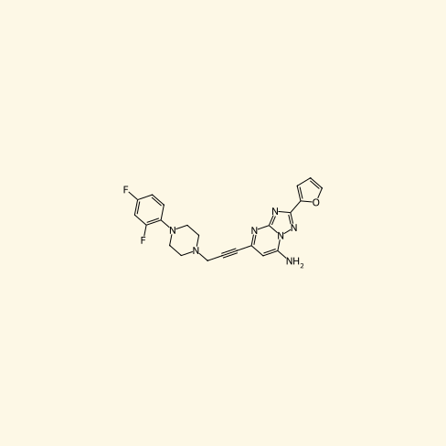 Nc1cc(C#CCN2CCN(c3ccc(F)cc3F)CC2)nc2nc(-c3ccco3)nn12